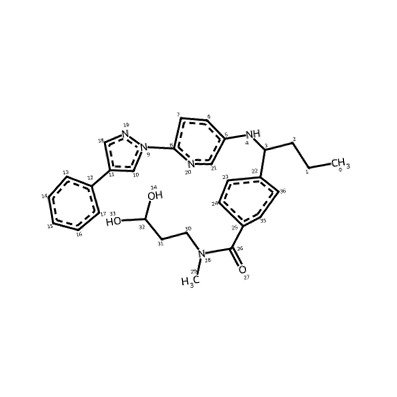 CCCC(Nc1ccc(-n2cc(-c3ccccc3)cn2)nc1)c1ccc(C(=O)N(C)CCC(O)O)cc1